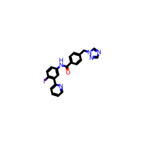 O=C(Nc1ccc(I)c(-c2ccccn2)c1)c1ccc(Cn2cncn2)cc1